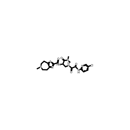 CN1CCc2nc(C(=O)NC(CNC(=O)C(=O)Nc3ccc(Cl)cn3)C(=O)N(C)C)sc2CC1